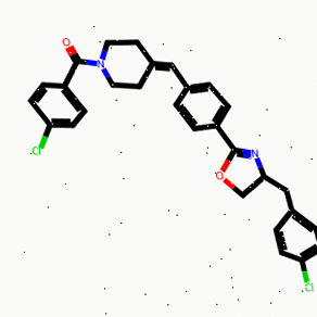 O=C(c1ccc(Cl)cc1)N1CCC(=Cc2ccc(C3=NC(Cc4ccc(Cl)cc4)CO3)cc2)CC1